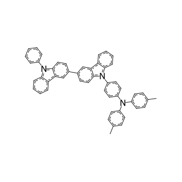 Cc1ccc(N(c2ccc(C)cc2)c2ccc(-n3c4ccccc4c4cc(-c5ccc6c(c5)c5ccccc5n6-c5ccccc5)ccc43)cc2)cc1